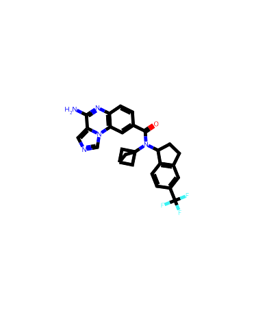 Nc1nc2ccc(C(=O)N(C3CCc4cc(C(F)(F)F)ccc43)C34CC(C3)C4)cc2n2cncc12